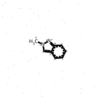 CN1C=c2ccccc2=[N+]1